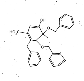 CC1(OCc2ccccc2)C(O)=CC(C(=O)O)=C(Cc2ccccc2)C1OCc1ccccc1